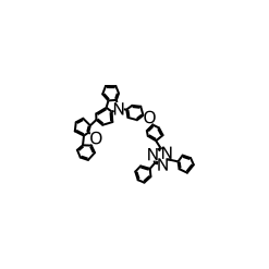 c1ccc(-c2nc(-c3ccccc3)nc(-c3ccc(Oc4ccc(-n5c6ccccc6c6cc(-c7cccc8c7oc7ccccc78)ccc65)cc4)cc3)n2)cc1